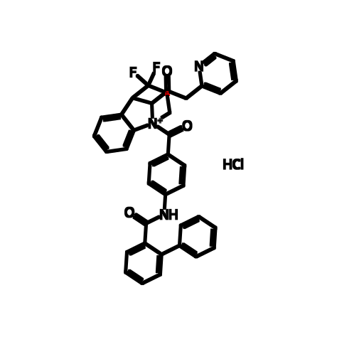 Cl.O=C(Nc1ccc(C(=O)[N+]23CCC(F)(F)C(c4ccccc42)C3C(=O)Cc2ccccn2)cc1)c1ccccc1-c1ccccc1